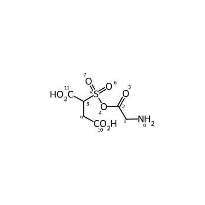 NCC(=O)OS(=O)(=O)C(CC(=O)O)C(=O)O